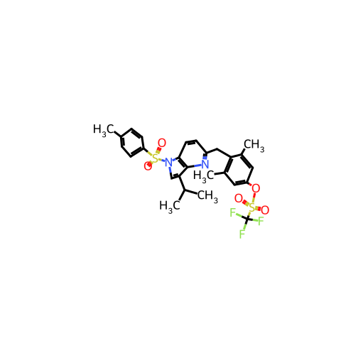 Cc1ccc(S(=O)(=O)n2cc(C(C)C)c3nc(Cc4c(C)cc(OS(=O)(=O)C(F)(F)F)cc4C)ccc32)cc1